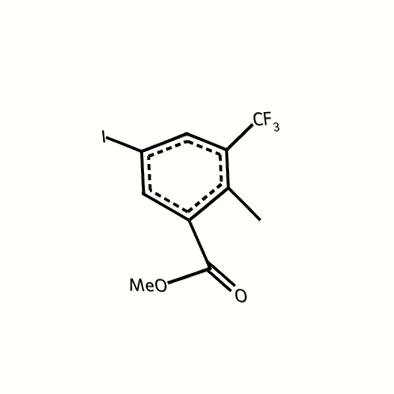 COC(=O)c1cc(I)cc(C(F)(F)F)c1C